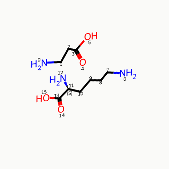 NCCC(=O)O.NCCCC[C@H](N)C(=O)O